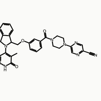 Cc1c(N2Cc3ccccc3C2COc2cccc(C(=O)N3CCN(c4cnc(C#N)cn4)CC3)c2)cn[nH]c1=O